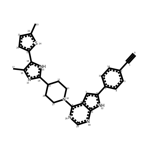 C#Cc1ccc(-c2cc3c(N4CCC(c5nc(C)c(-c6ccc(C)s6)[nH]5)CC4)ncnc3[nH]2)cc1